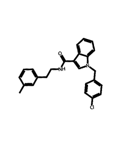 Cc1cccc(CCNC(=O)c2cn(Cc3ccc(Cl)cc3)c3ccccc23)c1